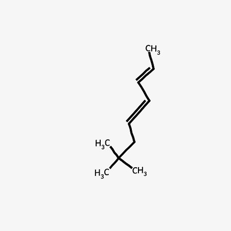 CC=CC=CCC(C)(C)C